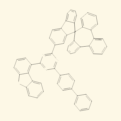 c1ccc(-c2ccc(-c3nc(-c4ccc5c(c4)C4(c6ccccc6-c6ccccc6-c6ccccc64)c4ccccc4-5)nc(-c4cccc5oc6ccccc6c45)n3)cc2)cc1